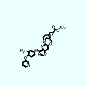 Cc1cc(Nc2ncnc3cc4c(nc23)N2CCC(CCC(=O)OC(C)(C)C)[C@H](CO4)C2)ccc1Oc1cccnc1